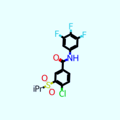 CC(C)S(=O)(=O)c1cc(C(=O)Nc2cc(F)c(F)c(F)c2)ccc1Cl